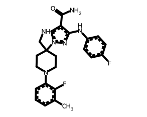 Cc1cccc(N2CCC(CN)(n3cc(C(N)=O)c(Nc4ccc(F)cc4)n3)CC2)c1F